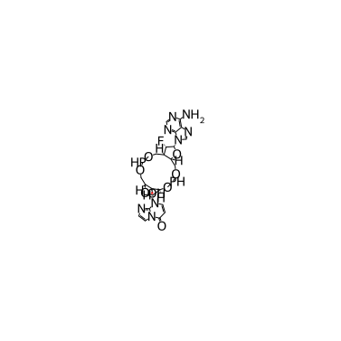 Nc1ncnc2c1ncn2[C@@H]1O[C@@H]2COPO[C@@H]3[C@H](O)[C@@H](COPOC[C@H]2[C@@H]1F)O[C@H]3n1ccc(=O)n2ccnc12